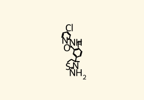 CC1(c2ccc(F)c(C(=O)Nc3cc(Cl)ccn3)c2)CCSC(N)=N1